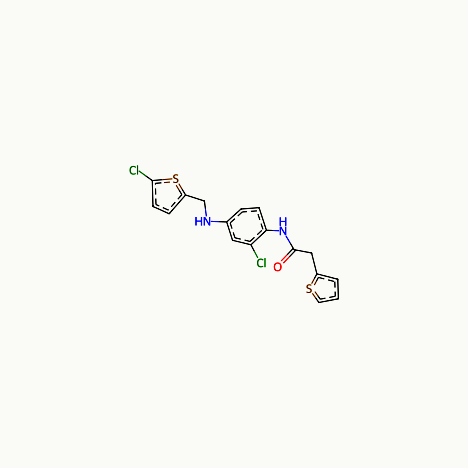 O=C(Cc1cccs1)Nc1ccc(NCc2ccc(Cl)s2)cc1Cl